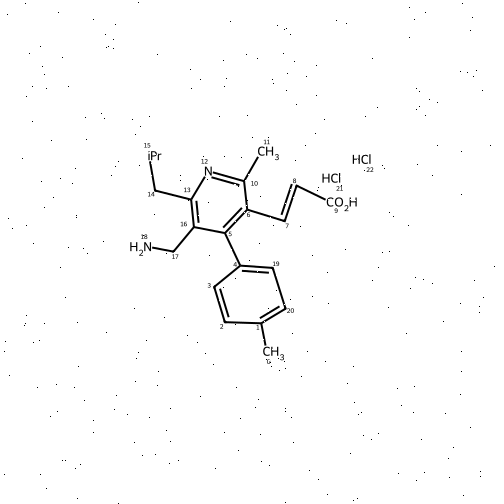 Cc1ccc(-c2c(/C=C/C(=O)O)c(C)nc(CC(C)C)c2CN)cc1.Cl.Cl